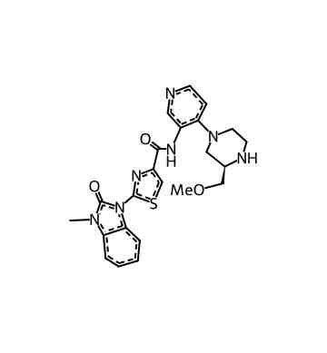 COC[C@H]1CN(c2ccncc2NC(=O)c2csc(-n3c(=O)n(C)c4ccccc43)n2)CCN1